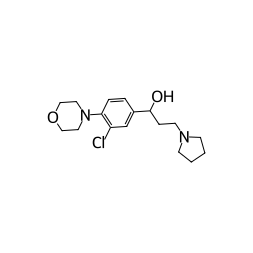 OC(CCN1CCCC1)c1ccc(N2CCOCC2)c(Cl)c1